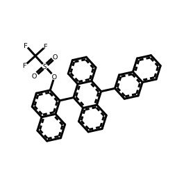 O=S(=O)(Oc1ccc2ccccc2c1-c1c2ccccc2c(-c2ccc3ccccc3c2)c2ccccc12)C(F)(F)F